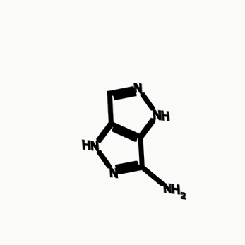 Nc1n[nH]c2cn[nH]c12